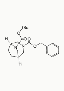 CC(C)(C)OC(=O)N1C[C@@H]2CC[C@H]1CN(C(=O)OCc1ccccc1)C2